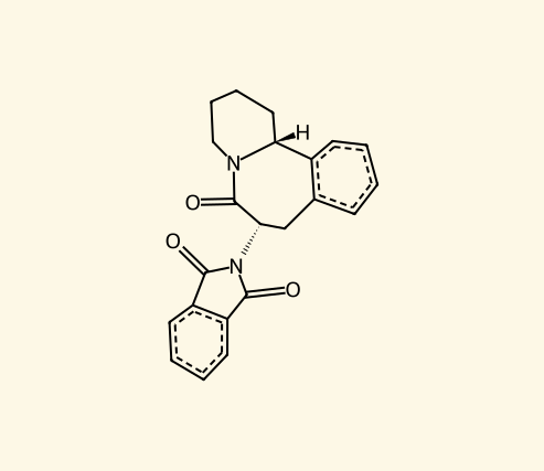 O=C1[C@@H](N2C(=O)c3ccccc3C2=O)Cc2ccccc2[C@H]2CCCCN12